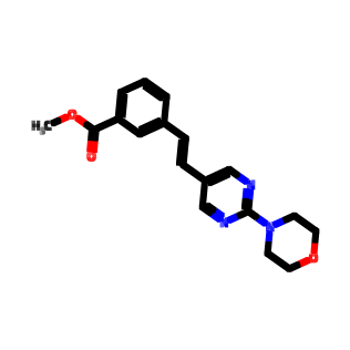 COC(=O)c1cccc(C=Cc2cnc(N3CCOCC3)nc2)c1